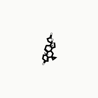 C[C@]12CCC(=O)C=C1C1(CC1)CC1C2=CC[C@@]2(C)C1CC[C@@]21CCC(=O)O1